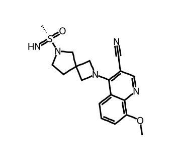 COc1cccc2c(N3CC4(CCN([S@@](C)(=N)=O)C4)C3)c(C#N)cnc12